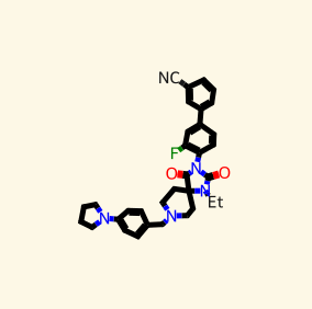 CCN1C(=O)N(c2ccc(-c3cccc(C#N)c3)cc2F)C(=O)C12CCN(Cc1ccc(N3CCCC3)cc1)CC2